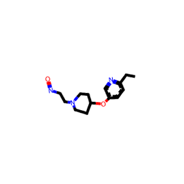 CCc1ccc(OC2CCN(CCN=O)CC2)cn1